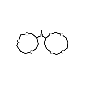 CN(C1CCCCCCCCCCC1)C1CCCCCCCCCC1